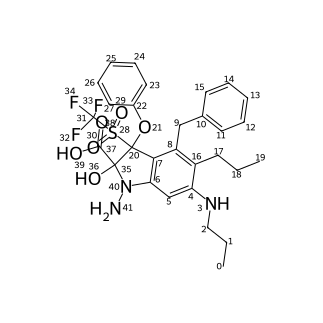 CCCNc1cc2c(c(Cc3ccccc3)c1CCC)C(Oc1ccccc1)(S(=O)(=O)C(F)(F)F)C(O)(C(=O)O)N2N